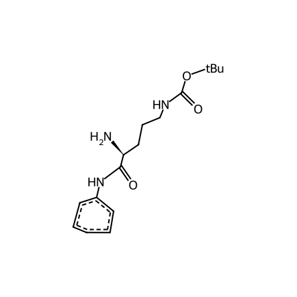 CC(C)(C)OC(=O)NCCC[C@H](N)C(=O)Nc1ccccc1